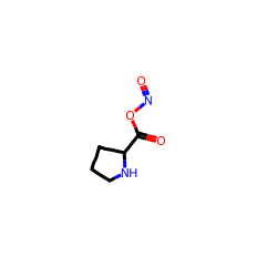 O=NOC(=O)C1CCCN1